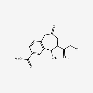 C=C(CCl)C1CC(=O)Cc2ccc(C(=O)OC)cc2C1C